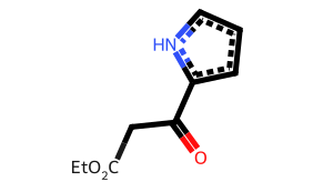 CCOC(=O)CC(=O)c1ccc[nH]1